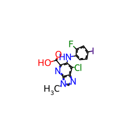 Cn1cnc2c(Cl)c(Nc3ccc(I)cc3F)c(C(=O)O)nc21